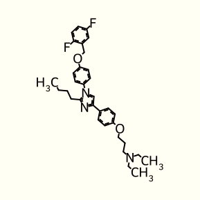 CCCCc1nc(-c2ccc(OCCCN(CC)CC)cc2)cn1-c1ccc(OCc2cc(F)ccc2F)cc1